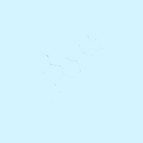 C=C(C)C(=N)c1cc(-c2cnc(C)nc2)ccc1NCC=O